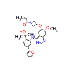 C=CC(=O)N1CC(Oc2cc3c(Nc4cc(-c5ccco5)ccc4C(C)(C)O)ncnc3cc2OC)C1